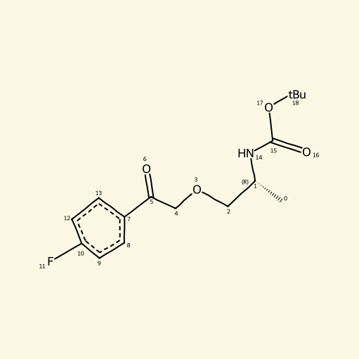 C[C@H](COCC(=O)c1ccc(F)cc1)NC(=O)OC(C)(C)C